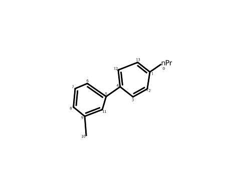 CCCc1[c]cc(-c2cccc(C)c2)cc1